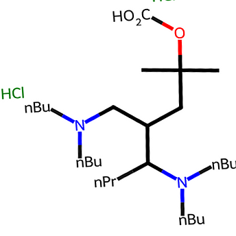 CCCCN(CCCC)CC(CC(C)(C)OC(=O)O)C(CCC)N(CCCC)CCCC.Cl.Cl